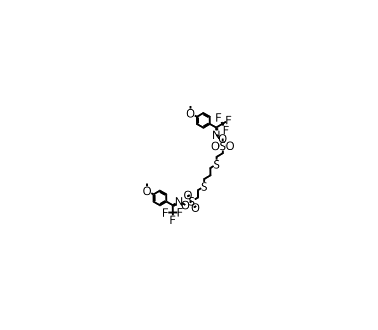 COc1ccc(C(=NOS(=O)(=O)CCSCCCSCCS(=O)(=O)ON=C(c2ccc(OC)cc2)C(F)(F)F)C(F)(F)F)cc1